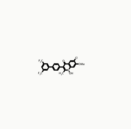 COc1cc2c(cc1Cl)c(=O)c(-c1ccc(-c3cc(C(F)(F)F)cc(C(F)(F)F)c3)cc1)c(C)n2O